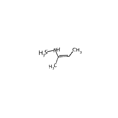 CC=C(C)N[SiH3]